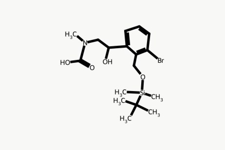 CN(CC(O)c1cccc(Br)c1CO[Si](C)(C)C(C)(C)C)C(=O)O